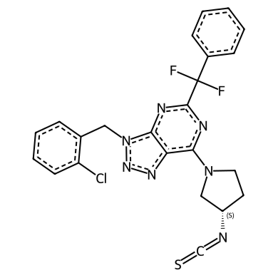 FC(F)(c1ccccc1)c1nc(N2CC[C@H](N=C=S)C2)c2nnn(Cc3ccccc3Cl)c2n1